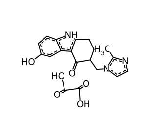 Cc1nccn1CC1CCc2[nH]c3ccc(O)cc3c2C1=O.O=C(O)C(=O)O